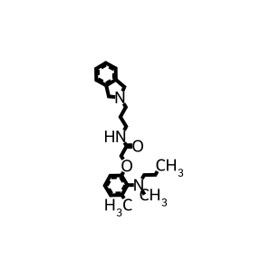 CCCN(C)c1c(C)cccc1OCC(=O)NCCCN1Cc2ccccc2C1